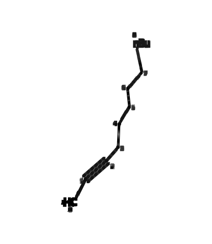 [CH]C#CCCCCCCCCC